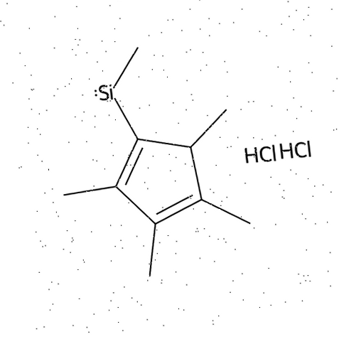 C[Si]C1=C(C)C(C)=C(C)C1C.Cl.Cl